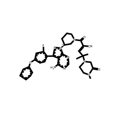 CN1CCN(C(C)(C)C=C(C#N)C(=O)N2CCC[C@H](n3nc(-c4ccc(Oc5ccccc5)cc4F)c4c(N)ncnc43)C2)CC1=O